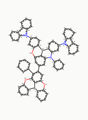 c1ccc(-c2c(-c3cc4c5c(c3)N(c3ccccc3)c3cc(-n6c7ccccc7c7ccccc76)ccc3B5c3ccc(-n5c6ccccc6c6ccccc65)cc3O4)cc3c4c2Oc2ccccc2B4c2ccccc2O3)cc1